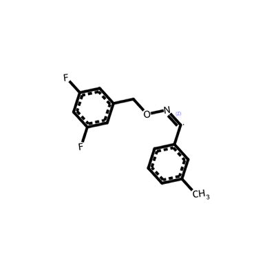 Cc1cccc(/[C]=N\OCc2cc(F)cc(F)c2)c1